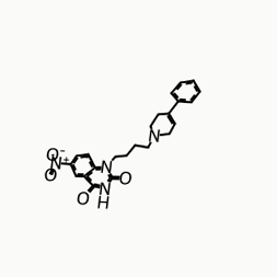 O=c1[nH]c(=O)n(CCCCN2CC=C(c3ccccc3)CC2)c2ccc([N+](=O)[O-])cc12